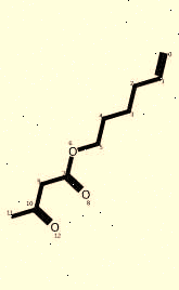 C=CCCCCOC(=O)CC(C)=O